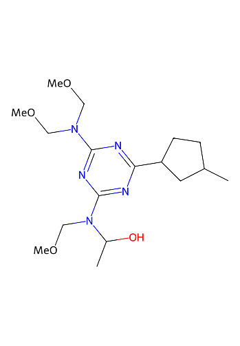 COCN(COC)c1nc(C2CCC(C)C2)nc(N(COC)C(C)O)n1